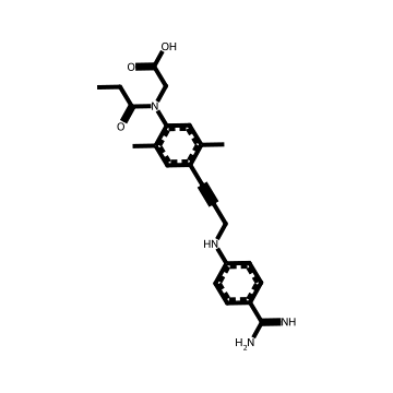 CCC(=O)N(CC(=O)O)c1cc(C)c(C#CCNc2ccc(C(=N)N)cc2)cc1C